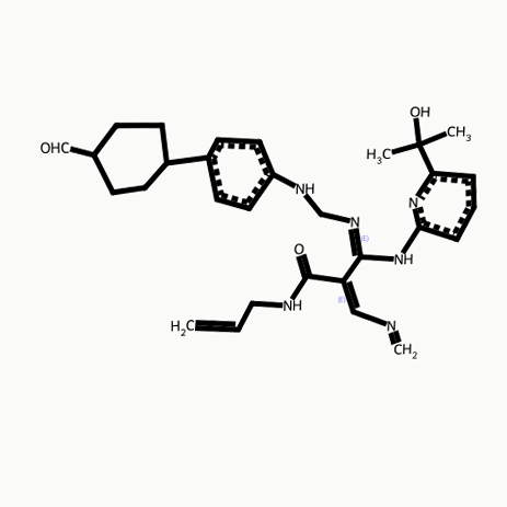 C=CCNC(=O)C(=C/N=C)/C(=N\CNc1ccc(C2CCC(C=O)CC2)cc1)Nc1cccc(C(C)(C)O)n1